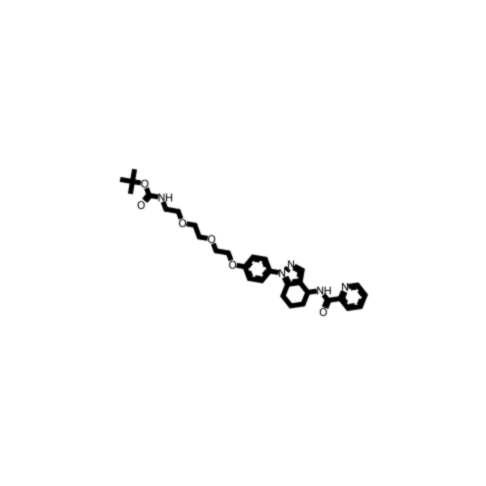 CC(C)(C)OC(=O)NCCOCCOCCOc1ccc(-n2ncc3c2CCCC3NC(=O)c2ccccn2)cc1